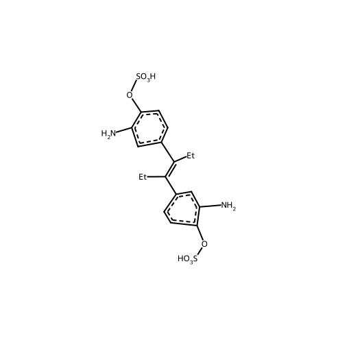 CC/C(=C(/CC)c1ccc(OS(=O)(=O)O)c(N)c1)c1ccc(OS(=O)(=O)O)c(N)c1